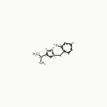 CN(C)c1cn(Cc2ccccc2F)nn1